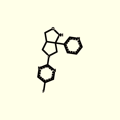 Fc1cnc(N2CC3CONC3(c3cccnc3)C2)nc1